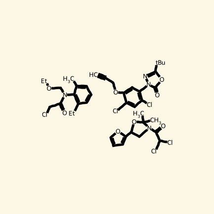 C#CCOc1cc(-n2nc(C(C)(C)C)oc2=O)c(Cl)cc1Cl.CC1(C)OC(c2ccco2)CN1C(=O)C(Cl)Cl.CCOCN(C(=O)CCl)c1c(C)cccc1CC